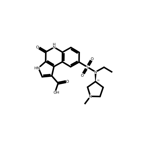 CCN([C@H]1CCN(C)C1)S(=O)(=O)c1ccc2[nH]c(=O)c3[nH]cc(C(=O)O)c3c2c1